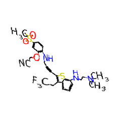 CN(C)CCNc1cccc2c(CC(F)(F)F)c(C#CCNc3ccc(S(C)(=O)=O)cc3OCC#N)sc12